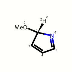 [2H][C@]1(OC)C=CC=N1